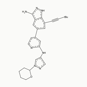 CC(C)(C)C#Cc1cc(-c2ccnc(Nc3cnn(C4CCCCO4)c3)c2)cc2c(N)n[nH]c12